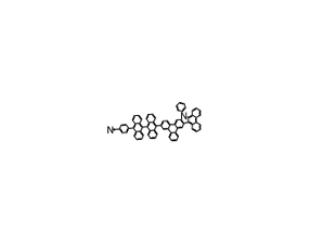 N#Cc1ccc(-c2c3ccccc3c(-c3c4ccccc4c(-c4ccc5c(c4)c4ccccc4c4cc6c7c8ccccc8c8ccccc8c7n(-c7ccccc7)c6cc54)c4ccccc34)c3ccccc23)cc1